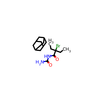 C1C2CC3CC1CC(C2)C3.CCC(Br)(CC)C(=O)NC(N)=O